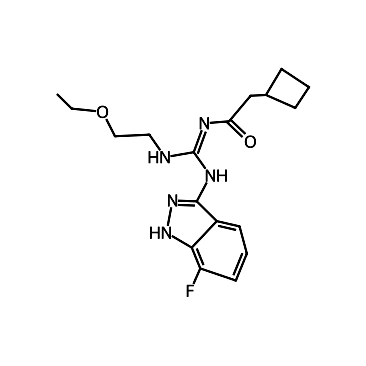 CCOCCN/C(=N/C(=O)CC1CCC1)Nc1n[nH]c2c(F)cccc12